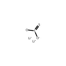 [Li+].[Li+].[O-]S([O-])=S